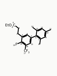 CCOC(=O)CCc1cc(-c2c(C)cc(C)cc2C)cc(C(F)(F)F)c1F